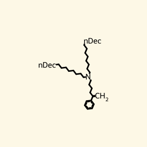 C=C(CCCCN(CCCCCCCCCCCCCCCCCC)CCCCCCCCCCCCCCCCCC)c1ccccc1